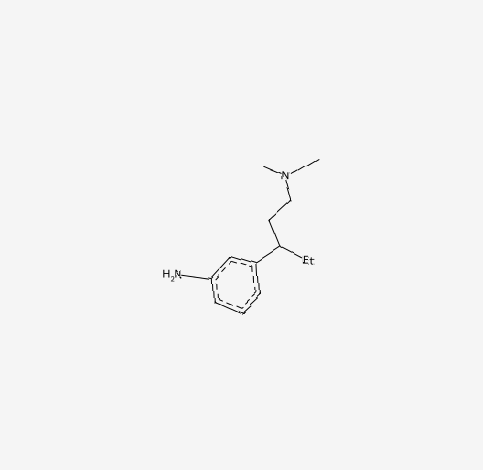 CCC(CCN(C)C)c1cccc(N)c1